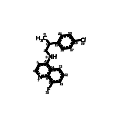 CC(CNc1ccnc2c(F)cccc12)c1ccc(Cl)cc1